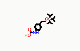 CC(C)[Si](OCCc1ccc(NC(=O)O)cc1)(C(C)C)C(C)C